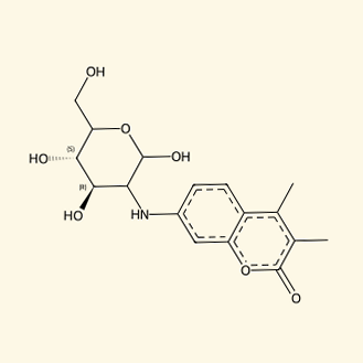 Cc1c(C)c2ccc(NC3C(O)OC(CO)[C@@H](O)[C@@H]3O)cc2oc1=O